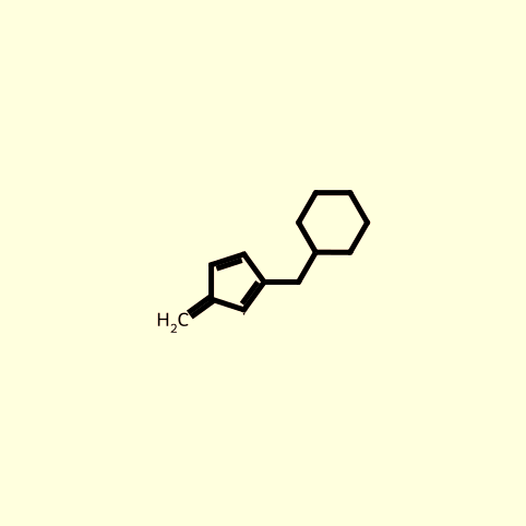 C=C1[C]=C(CC2CCCCC2)C=C1